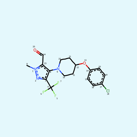 Cn1nc(C(F)(F)F)c(N2CCC(Oc3ccc(Cl)cc3)CC2)c1C=O